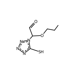 CCCOC(C=O)n1nnnc1S